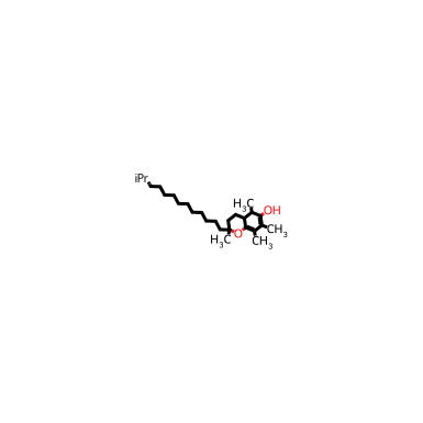 CC1=C(O)C(C)C2CCC(C)(CCCCCCCCCCCC(C)C)OC2=C1C